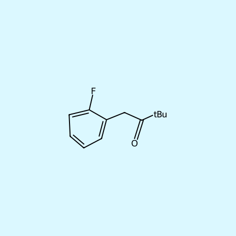 CC(C)(C)C(=O)Cc1ccccc1F